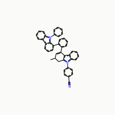 CC1C=C(c2ccccc2-c2cccc3c4ccccc4n(-c4ccccc4)c23)c2c(n(-c3ccc(C#N)cc3)c3ccccc23)C1